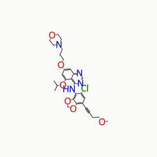 COCCC#Cc1cc(Cl)c(Nc2ncnc3cc(OCCCN4CCOCC4)cc(OC(C)C)c23)c2c1OCO2